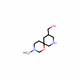 O=C(O)N1CCC2(CNCC(CO)C2)OC1